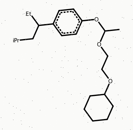 CCC(CC(C)C)c1ccc(OC(C)OCCOC2CCCCC2)cc1